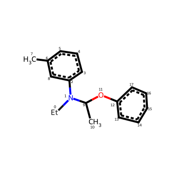 CCN(c1cccc(C)c1)C(C)Oc1ccccc1